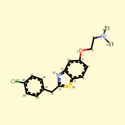 CCN(CC)CCOc1ccc2sc(Cc3ccc(Cl)cc3)nc2c1